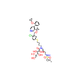 CS(=O)(=O)NCCCCN(CCCCSc1ccc(Cl)c(COC2(c3cnccc3-c3ccccc3OC3CC3)CC2)c1)C(=O)[C@@H](O)[C@@H](O)[C@H](O)[C@@H](O)CO